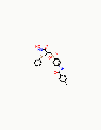 Cc1ccc(C(=O)Nc2ccc(S(=O)(=O)CC(CSc3ccccc3)C(=O)NO)cc2)cc1